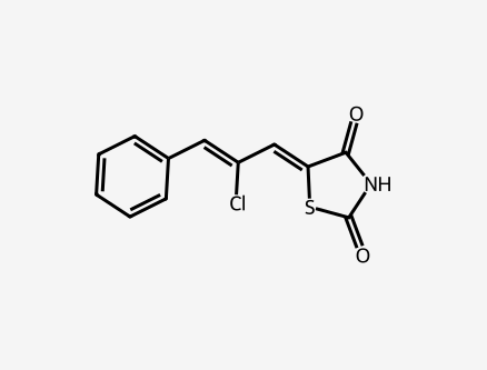 O=C1NC(=O)C(=CC(Cl)=Cc2ccccc2)S1